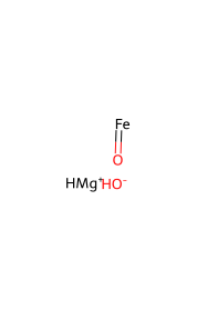 [MgH+].[OH-].[O]=[Fe]